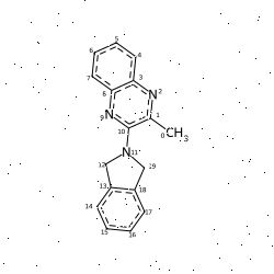 Cc1nc2ccccc2nc1N1Cc2ccccc2C1